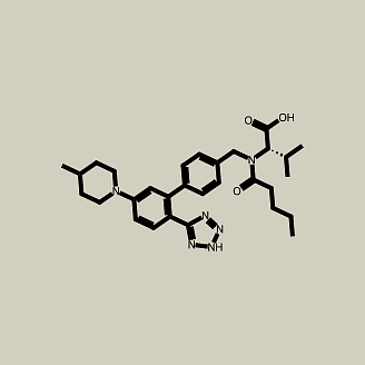 CCCCC(=O)N(Cc1ccc(-c2cc(N3CCC(C)CC3)ccc2-c2nn[nH]n2)cc1)[C@H](C(=O)O)C(C)C